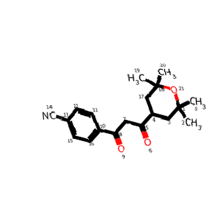 CC1(C)CC(C(=O)CC(=O)c2ccc(C#N)cc2)CC(C)(C)O1